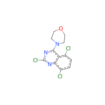 Clc1nc(N2CCOCC2)c2c(Cl)ccc(Cl)c2n1